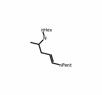 CCCCC/C=C/CC(C)[N]CCCCCC